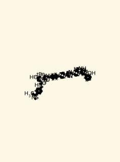 Cc1ncsc1-c1ccc(CNC(=O)[C@@H]2C[C@@H](O)CN2C(=O)[C@@H](NC(=O)[C@H]2CC3(C2)C[C@H](N2CCN(c4cnc(N5CCN6c7cc(-c8ccccc8O)nnc7NC[C@H]6C5)nc4)CC2)C3)C(C)(C)C)cc1